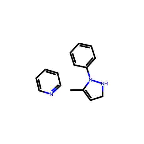 CC1=CCNN1c1ccccc1.c1ccncc1